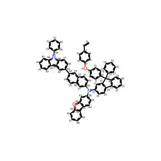 C=Cc1ccc(Oc2ccc(C3(c4ccccc4)c4ccccc4-c4ccc(N(c5ccc6cc(-c7ccc8c(c7)c7ccccc7n8-c7ccccc7)ccc6c5)c5ccc6c(c5)oc5ccccc56)cc43)cc2)cc1